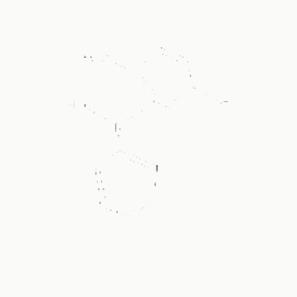 COc1ccc(F)cc1B(O)c1ccc(C)cc1